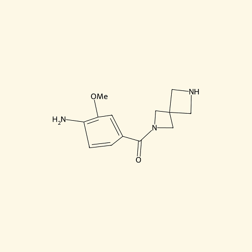 COc1cc(C(=O)N2CC3(CNC3)C2)ccc1N